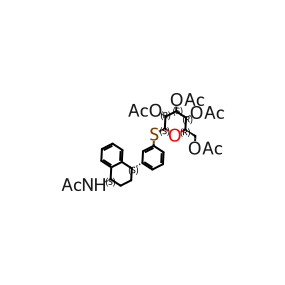 CC(=O)N[C@H]1CC[C@@H](c2cccc(S[C@@H]3O[C@H](COC(C)=O)[C@@H](OC(C)=O)[C@H](OC(C)=O)[C@H]3OC(C)=O)c2)c2ccccc21